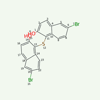 Oc1ccc2cc(Br)ccc2c1Sc1c(O)ccc2cc(Br)ccc12